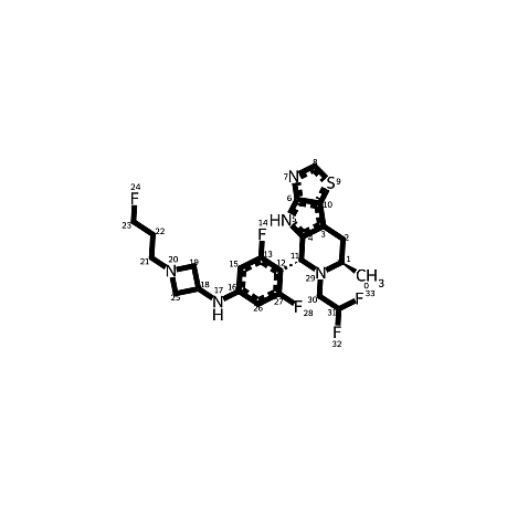 C[C@@H]1Cc2c([nH]c3ncsc23)[C@@H](c2c(F)cc(NC3CN(CCCF)C3)cc2F)N1CC(F)F